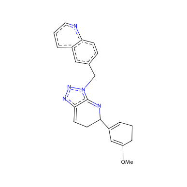 COC1=CC(C2CC=c3nnn(Cc4ccc5ncccc5c4)c3=N2)=CCC1